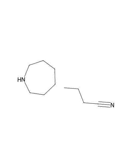 C1CCCNCC1.CCCC#N